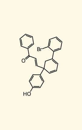 O=C(C=CC1(c2ccc(O)cc2)C=CC=C(c2ccccc2Br)C1)c1ccccc1